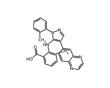 Cc1ccccc1-n1ncc(-c2ccc3nccnc3c2)c1Nc1c(C)cccc1C(=O)O